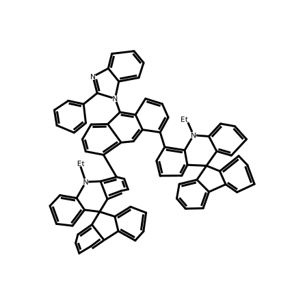 CCN1c2ccccc2C2(c3ccccc3-c3ccccc32)c2cccc(-c3cccc4c(-n5c(-c6ccccc6)nc6ccccc65)c5cccc(-c6cccc7c6N(CC)c6ccccc6C76c7ccccc7-c7ccccc76)c5cc34)c21